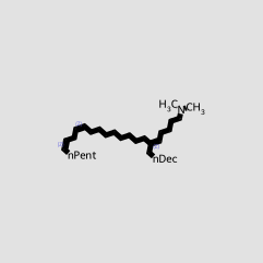 CCCCC/C=C\C/C=C\CCCCCCCC/C(=C\CCCCN(C)C)CCCCCCCCCCC